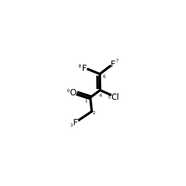 O=C(CF)C(Cl)=C(F)F